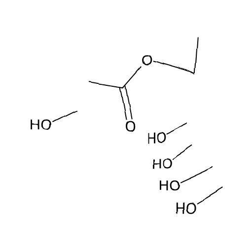 CCOC(C)=O.CO.CO.CO.CO.CO